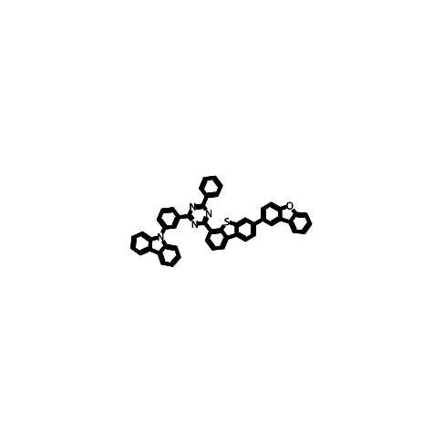 c1ccc(-c2nc(-c3cccc(-n4c5ccccc5c5ccccc54)c3)nc(-c3cccc4c3sc3cc(-c5ccc6oc7ccccc7c6c5)ccc34)n2)cc1